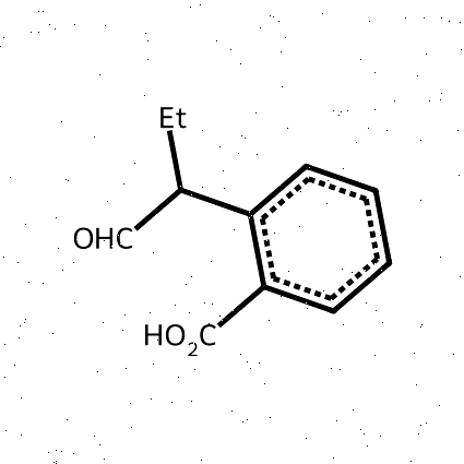 CCC(C=O)c1ccccc1C(=O)O